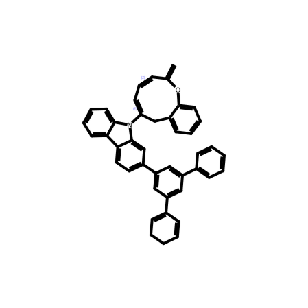 C=C1/C=C\C=C(\n2c3ccccc3c3ccc(-c4cc(C5=CCCC=C5)cc(-c5ccccc5)c4)cc32)Cc2ccccc2O1